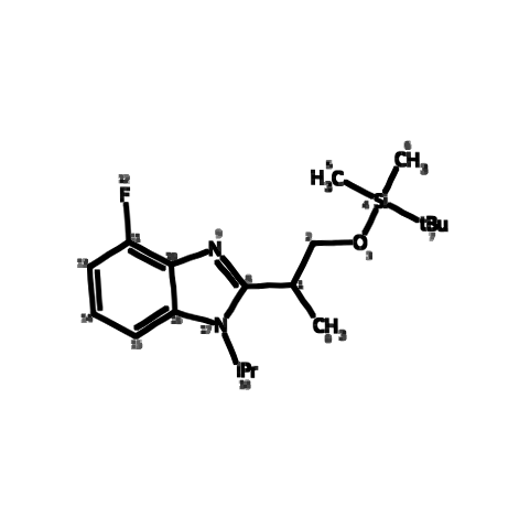 CC(CO[Si](C)(C)C(C)(C)C)c1nc2c(F)cccc2n1C(C)C